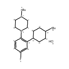 CCCCN1CCN(c2ccc(F)cc2C2CCC(C(C)(C)C)CC2)CC1.Cl